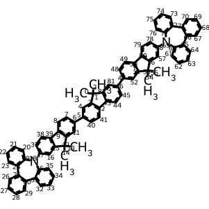 CC1(C)c2cc(-c3ccc4c(c3)C(C)(C)c3cc(N5c6ccccc6-c6ccccc6-c6ccccc65)ccc3-4)ccc2-c2ccc(-c3ccc4c(c3)C(C)(C)c3cc(N5c6ccccc6-c6ccccc6-c6ccccc65)ccc3-4)cc21